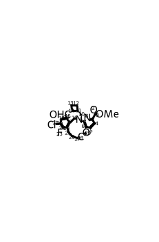 COC(=O)c1ccc2c(n1)N(C[C@@H]1CC[C@H]1C=O)Cc1ccc(Cl)c(F)c1CCCCO2